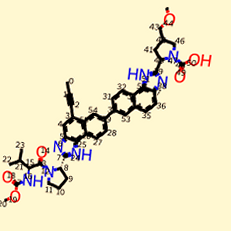 CC#Cc1cc2nc([C@@H]3CCCN3C(=O)[C@@H](NC(=O)OC)C(C)C)[nH]c2c2ccc(-c3ccc4c(ccc5nc(C6CC(COC)CN6C(=O)O)[nH]c54)c3)cc12